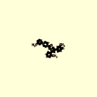 Cc1ccnc(N2CCN(C(=O)Cn3nc(-c4ccc(F)c(C)c4)nc3C3CCCCC3C)CC2)c1